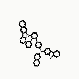 c1ccc(-c2c(-c3ccc(N(c4ccc5ccccc5c4)c4ccc5c(c4)sc4ccccc45)cc3)cccc2-n2c3ccccc3c3cc4ccccc4cc32)cc1